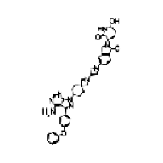 Nc1ncnc2c1c(-c1ccc(Oc3ccccc3)cc1)nn2C1CCC2(CC1)CN(C1CN(c3ccc4c(c3)CN([C@@H]3CCC(O)NC3=O)C4=O)C1)C2